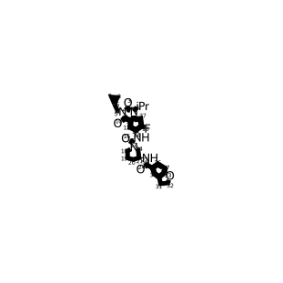 CC(C)n1c(=O)n(CC2CC2)c(=O)c2cc(NC(=O)N3CCC[C@@H](NC(=O)c4ccc5c(c4)CCO5)C3)c(F)cc21